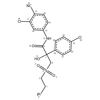 CC(C)CCS(=O)(=O)CC(O)(C(=O)Nc1ccc(C#N)c(Cl)c1)c1ccc(Cl)cc1